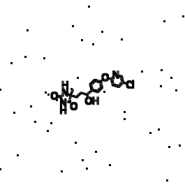 CC1(CCC(O)c2ccc(Oc3ccc(Cl)cn3)cc2)NC(=O)NC1=O